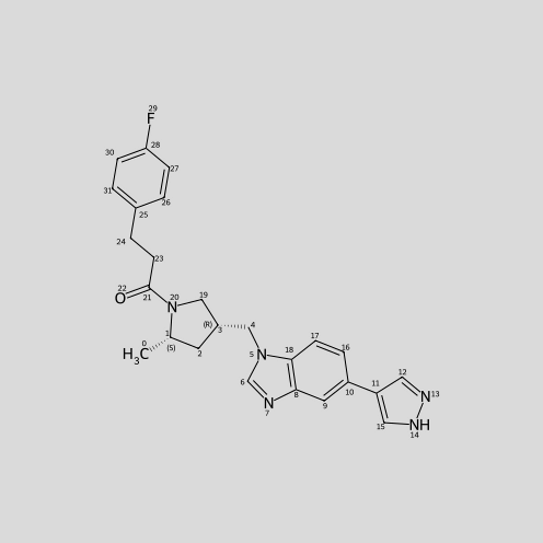 C[C@H]1C[C@@H](Cn2cnc3cc(-c4cn[nH]c4)ccc32)CN1C(=O)CCc1ccc(F)cc1